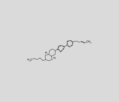 C/C=C/CCc1ccc(-c2ccc([C@@H]3CC[C@@H]4CC(CCCCC)CC[C@@H]4C3)cc2)cc1